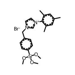 CO[Si](OC)(OC)c1ccc(Cn2cc[n+](-c3c(C)cc(C)cc3C)c2)cc1.[Br-]